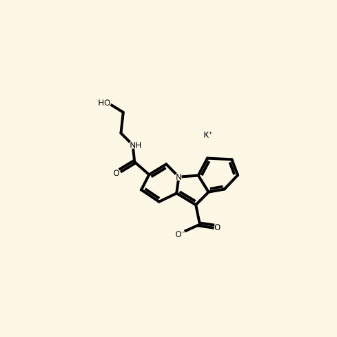 O=C(NCCO)c1ccc2c(C(=O)[O-])c3ccccc3n2c1.[K+]